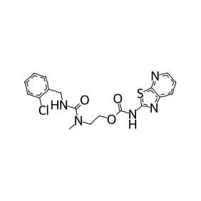 CN(CCOC(=O)Nc1nc2cccnc2s1)C(=O)NCc1ccccc1Cl